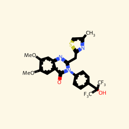 COc1cc2nc(Cc3nc(C)cs3)n(-c3ccc(C(O)(C(F)(F)F)C(F)(F)F)cc3)c(=O)c2cc1OC